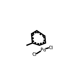 Cc1ccccc1.[Cl][Pd][Cl]